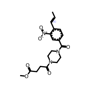 C/C=C/c1ccc(C(=O)N2CCN(C(=O)CCC(=O)OC)CC2)cc1[N+](=O)[O-]